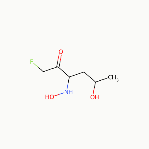 CC(O)CC(NO)C(=O)CF